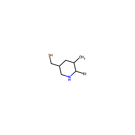 [CH]CC1NCC(CS)CC1C